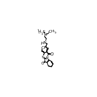 C/C=c1/nc2n(c(=O)/c1=C/CCNCCN(C)CC)C1=C(CCC=C1)C2=O